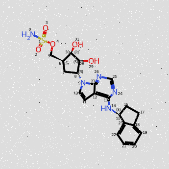 NS(=O)(=O)OC[C@@H]1C[C@@H](n2ccc3c(N[C@H]4CCc5ccccc54)ncnc32)[C@H](O)[C@@H]1O